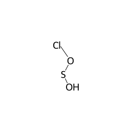 OSOCl